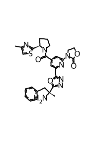 Cc1csc([C@H]2CCCN2C(=O)c2cc(-c3nnc([C@](C)(N)Cc4ccccc4)o3)nc(N3CCOC3=O)c2)n1